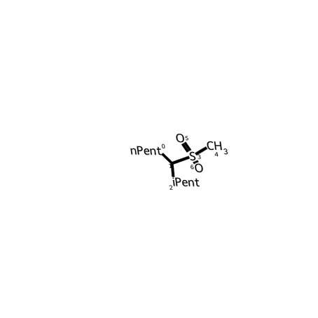 CCCCCC(C(C)CCC)S(C)(=O)=O